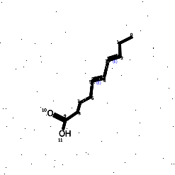 CC/C=C/C=C/CCCC(=O)O